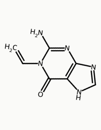 C=Cn1c(N)nc2nc[nH]c2c1=O